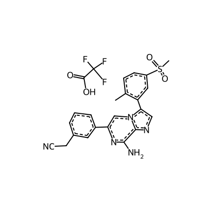 Cc1ccc(S(C)(=O)=O)cc1-c1cnc2c(N)nc(-c3cccc(CC#N)c3)cn12.O=C(O)C(F)(F)F